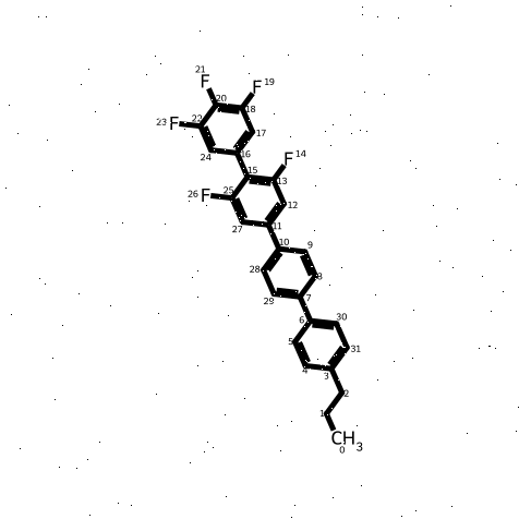 CCCc1ccc(-c2ccc(-c3cc(F)c(-c4cc(F)c(F)c(F)c4)c(F)c3)cc2)cc1